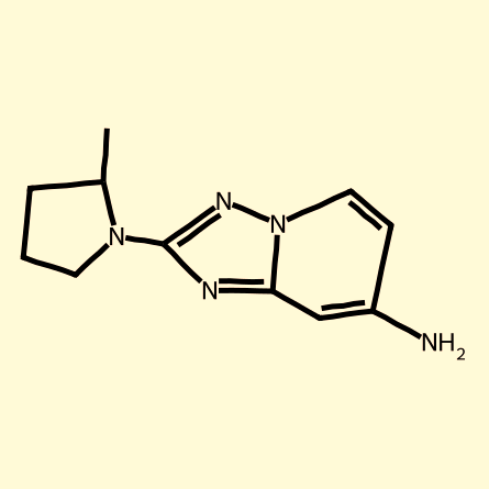 CC1CCCN1c1nc2cc(N)ccn2n1